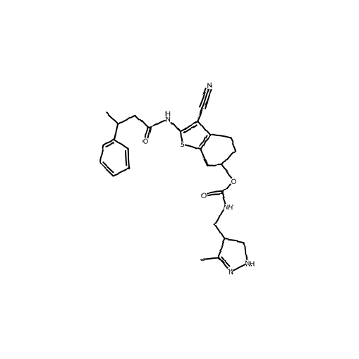 CC1=NNCC1CNC(=O)OC1CCc2c(sc(NC(=O)CC(C)c3ccccc3)c2C#N)C1